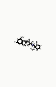 CC(C)c1cc(F)cc(C(C)C)c1NC(=O)NS(=O)(=O)/C=C/[C@]1(C)CCCN1